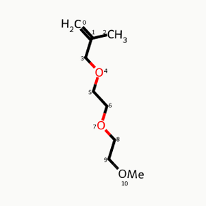 C=C(C)COCCOCCOC